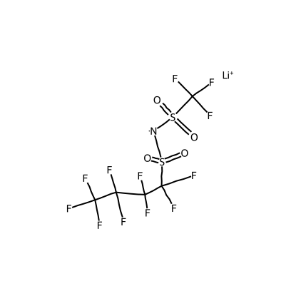 O=S(=O)([N]S(=O)(=O)C(F)(F)C(F)(F)C(F)(F)C(F)(F)F)C(F)(F)F.[Li+]